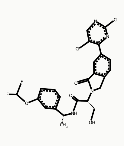 C[C@@H](NC(=O)[C@@H](CO)N1Cc2ccc(-c3nc(Cl)ncc3Cl)cc2C1=O)c1cccc(OC(F)F)c1